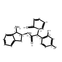 NC1c2ccccc2C[C@@H]1NC(=O)C(c1ccc(F)cc1F)n1ccccc1=O